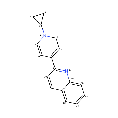 C1=CN(C2CC2)CC=C1c1ccc2ccccc2n1